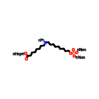 CCCCCCCCCOP(=O)(OCCCCCCCCC)OCCCCCCCCCN(CCC)CCCCCCCC(=O)OCCCCCCC